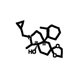 CC1=C([C@]23CCN(CC4CC4)C(C)[C@]2(O)CCC2(C3)OCCO2)CCCC1